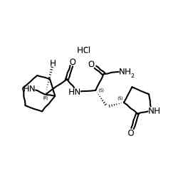 Cl.NC(=O)[C@H](C[C@@H]1CCNC1=O)NC(=O)[C@@H]1NC2CCC1CC2